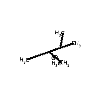 CCCCCCCCCCCCCCCCCCC(CCCCCCCCC(CCCCCCCCCC)CCCCCCCCCCC)CCCCC(=O)OCCCCN(C)C